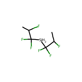 CC(F)C(F)(F)[SiH2]C(F)(F)C(C)F